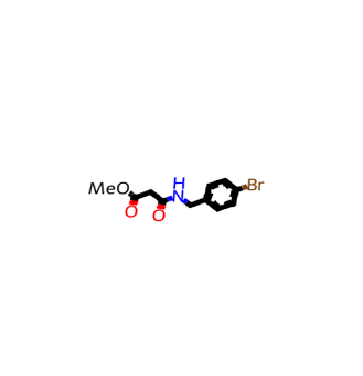 COC(=O)CC(=O)NCc1ccc(Br)cc1